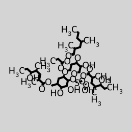 CCCC(C)CC(C)C(=O)OC1C(O)C(OC(=O)C(C)CC(C)C(O)CC)OC(OC2CC(COC(=O)C(C)CC(C)C(O)CC)C(O)C(O)C2OSOOO)C1OC(=O)CC